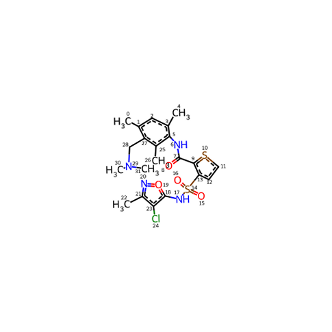 Cc1cc(C)c(NC(=O)c2sccc2S(=O)(=O)Nc2onc(C)c2Cl)c(C)c1CN(C)C